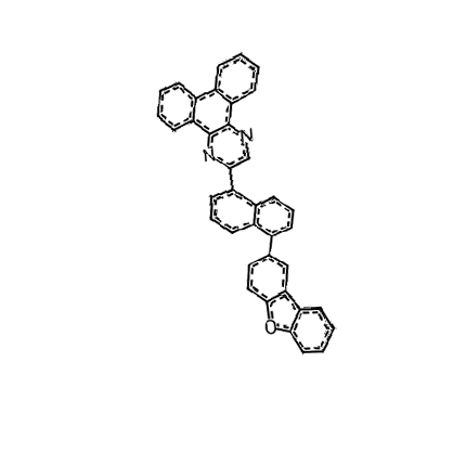 c1ccc2c(c1)oc1ccc(-c3cccc4c(-c5cnc6c7ccccc7c7ccccc7c6n5)cccc34)cc12